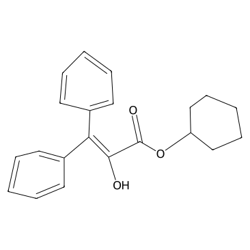 O=C(OC1CCCCC1)C(O)=C(c1ccccc1)c1ccccc1